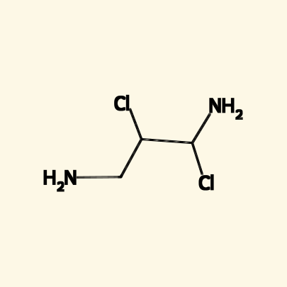 NCC(Cl)C(N)Cl